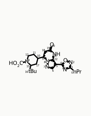 CCCc1noc(-c2cnn3c(C4CCN(C(=O)O)C(C(C)(C)C)C4)cc(=O)[nH]c23)n1